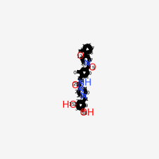 Cc1cc(C(=O)N2CCC3(CC2)OCc2ccccc23)ccc1CNC(=O)N1CCN(Cc2cc(O)cc(O)c2)CC1